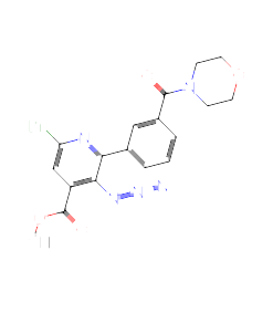 COC(=O)c1cc(Br)nc(-c2cccc(C(=O)N3CCOCC3)c2)c1N=[N+]=[N-]